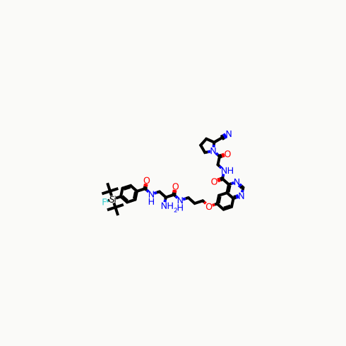 CC(C)(C)[Si](F)(c1ccc(C(=O)NCC(N)C(=O)NCCCOc2ccc3ncnc(C(=O)NCC(=O)N4CCCC4C#N)c3c2)cc1)C(C)(C)C